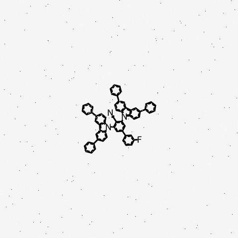 N#Cc1c(-n2c3ccc(-c4ccccc4)cc3c3cc(-c4ccccc4)ccc32)cc(-c2cccc(F)c2)cc1-n1c2ccc(-c3ccccc3)cc2c2cc(-c3ccccc3)ccc21